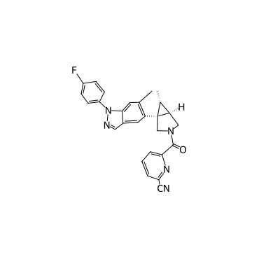 Cc1cc2c(cnn2-c2ccc(F)cc2)cc1[C@@]12CN(C(=O)c3cccc(C#N)n3)C[C@@H]1[C@H]2C